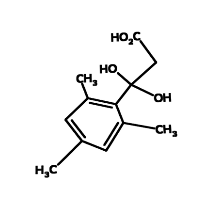 Cc1cc(C)c(C(O)(O)CC(=O)O)c(C)c1